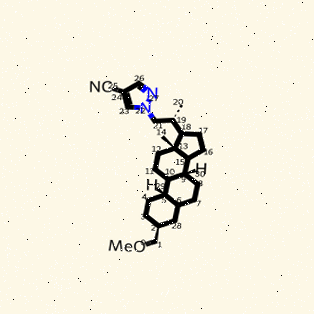 COC[C@H]1CC[C@H]2C(CC[C@@H]3C2CC[C@@]2(C)C3CCC2[C@@H](C)Cn2cc(C#N)cn2)C1